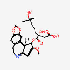 COC1=CC23CCCN2CCc2cc4c(cc2[C@@H]3C1OC(=O)[C@@](O)(CCCC(C)(C)O)CC(=O)O)OCO4